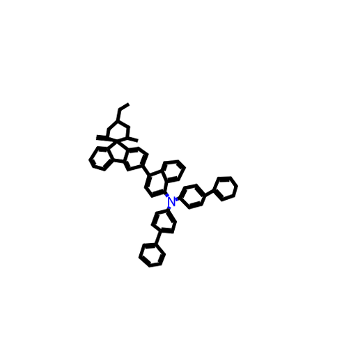 C=C1CC(CC)CC(C)C12c1ccccc1-c1cc(-c3ccc(N(c4ccc(C5=CCCC=C5)cc4)c4ccc(-c5ccccc5)cc4)c4ccccc34)ccc12